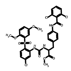 COC(=O)C(Cc1ccc(NC(=O)c2c(Cl)cccc2Cl)cc1)NC(=O)Nc1cc(Cl)ccc1S(=O)(=O)c1cc(OC)ccc1OC